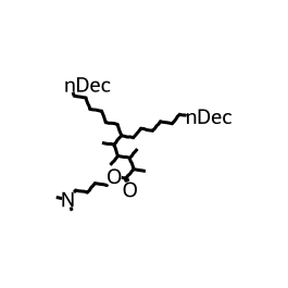 CCCCCCCCCCCCCCCCC(CCCCCCCCCCCCCCCC)C(C)C(C)C(C)C(C)C(=O)OCCCCN(C)C